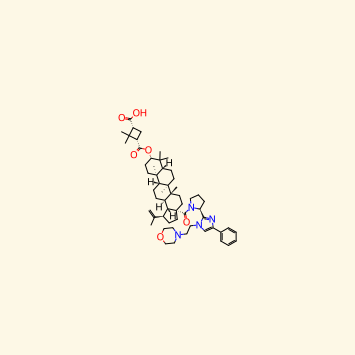 C=C(C)[C@@H]1CC[C@]2(C(=O)N3CCC[C@H]3c3nc(-c4ccccc4)cn3CCN3CCOCC3)CC[C@]3(C)[C@H](CC[C@@H]4[C@@]5(C)CC[C@H](OC(=O)[C@H]6C[C@@H](C(=O)O)C6(C)C)C(C)(C)[C@@H]5CC[C@]43C)[C@@H]12